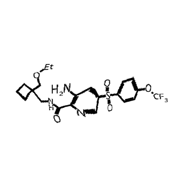 CCOCC1(CNC(=O)c2ncc(S(=O)(=O)c3ccc(OC(F)(F)F)cc3)cc2N)CCC1